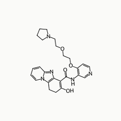 O=C(Nc1cnccc1OCCOCCN1CCCC1)C1=C(O)CCc2c1nc1ccccn21